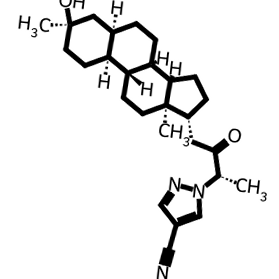 C[C@@H](C(=O)C[C@H]1CC[C@H]2[C@@H]3CC[C@@H]4C[C@](C)(O)CC[C@@H]4[C@H]3CC[C@]12C)n1cc(C#N)cn1